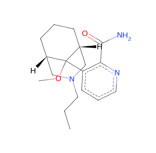 CCCN1C[C@H]2CCC[C@@H](C1)C2(OC)c1cccnc1C(N)=O